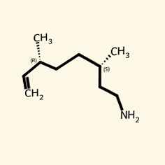 C=C[C@H](C)CC[C@H](C)CCN